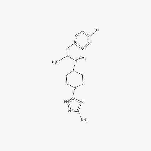 CC(Cc1ccc(Cl)cc1)N(C)C1CCN(c2nc(N)n[nH]2)CC1